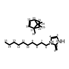 C=C1NC=CN1CCCCCCCCCC.CC12C=CC(CC1)C2(C)C